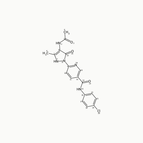 CC(=O)Nc1c(C)[nH]n(-c2ccc(C(=O)Nc3ccc(Cl)cc3)cn2)c1=O